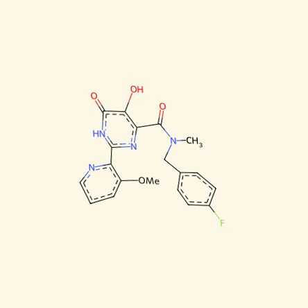 COc1cccnc1-c1nc(C(=O)N(C)Cc2ccc(F)cc2)c(O)c(=O)[nH]1